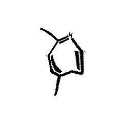 Cc1[c]c(C)n[c]c1